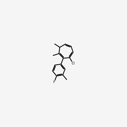 CC1=C(c2ccc(F)c(C)c2)C(Cl)=CC=CC1C